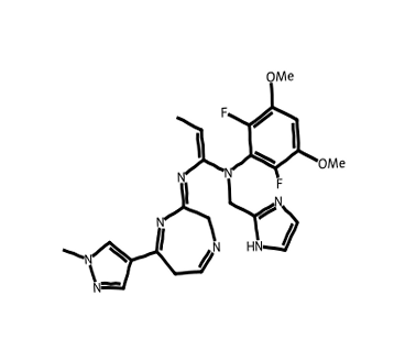 C/C=C(\N=C1/CN=CCC(c2cnn(C)c2)=N1)N(Cc1ncc[nH]1)c1c(F)c(OC)cc(OC)c1F